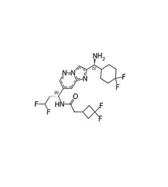 N[C@H](c1cn2ncc([C@@H](CC(F)F)NC(=O)CC3CC(F)(F)C3)cc2n1)C1CCC(F)(F)CC1